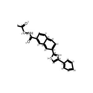 CC(=O)ONC(=O)c1ccc2ccc(-c3nc(-c4ccccc4)cs3)cc2c1